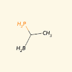 BC(C)P